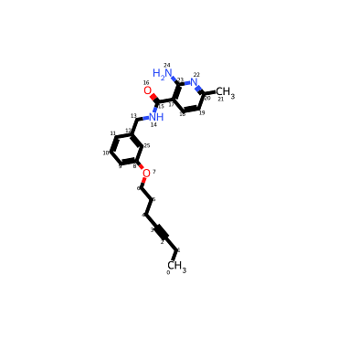 CCC#CCCCOc1cccc(CNC(=O)c2ccc(C)nc2N)c1